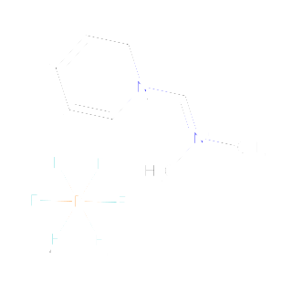 C[N+](C)=CN1C=CC=CC1.F[P-](F)(F)(F)(F)F